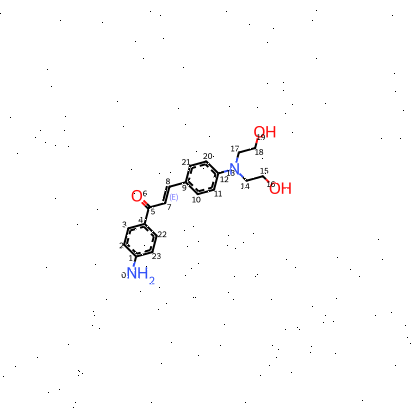 Nc1ccc(C(=O)/C=C/c2ccc(N(CCO)CCO)cc2)cc1